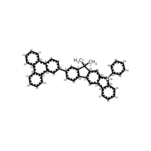 CC1(C)c2cc(-c3ccc4c5ccccc5c5ccccc5c4c3)ccc2-c2cc3c4ccccc4n(-c4ccccc4)c3cc21